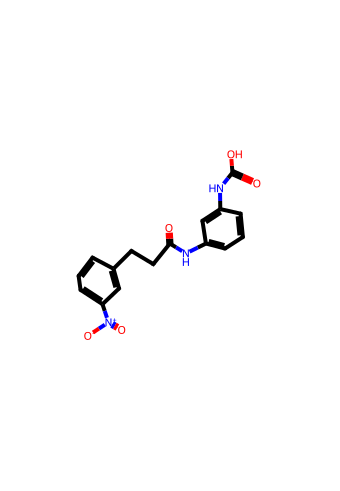 O=C(O)Nc1cccc(NC(=O)CCc2cccc([N+](=O)[O-])c2)c1